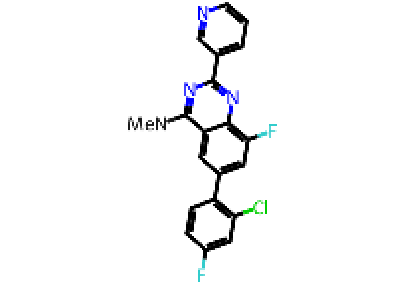 CNc1nc(-c2cccnc2)nc2c(F)cc(-c3ccc(F)cc3Cl)cc12